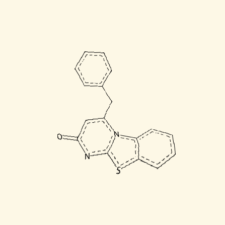 O=c1cc(Cc2ccccc2)n2c(n1)sc1ccccc12